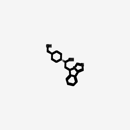 OC[C@H]1CC[C@H](C(O)CC2c3ccccc3-c3cncn32)CC1